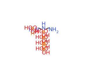 NCCNCCN.O=[PH](O)O.O=[PH](O)O.O=[PH](O)O.O=[PH](O)O.O=[PH](O)O